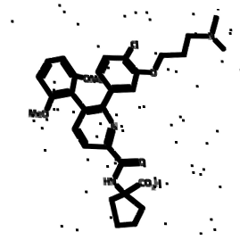 COc1cccc(OC)c1-c1ccc(C(=O)NC2(C(=O)O)CCCC2)nc1-c1ccc(Cl)c(OCCCN(C)C)c1